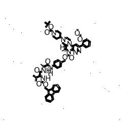 COCOc1ccccc1-c1cc2c(nn1)N(C(=O)OCc1ccc(NC(=O)[C@H](C)NC(=O)[C@@H](NC(=O)OCC3c4ccccc4-c4ccccc43)C(C)C)cc1)[C@@H](C)[C@@H]1CN(C3CCN(C(=O)OC(C)(C)C)CC3)CCN21